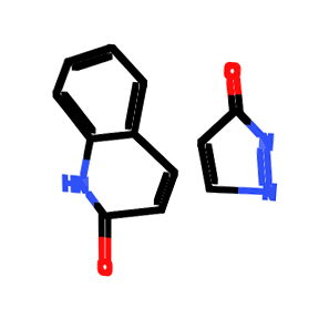 O=C1C=CN=N1.O=c1ccc2ccccc2[nH]1